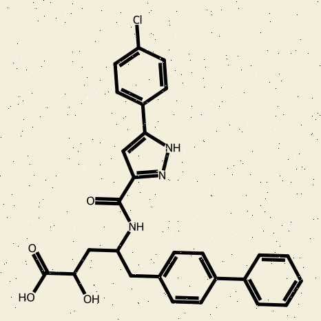 O=C(NC(Cc1ccc(-c2ccccc2)cc1)CC(O)C(=O)O)c1cc(-c2ccc(Cl)cc2)[nH]n1